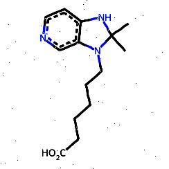 CC1(C)Nc2ccncc2N1CCCCCC(=O)O